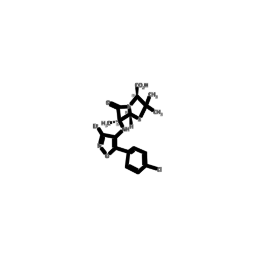 CCc1noc(-c2ccc(Cl)cc2)c1N[C@@]1(C)C(=O)N2[C@@H](C(=O)O)C(C)(C)S[C@@H]21